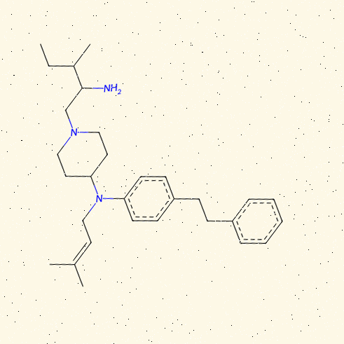 CCC(C)C(N)CN1CCC(N(CC=C(C)C)c2ccc(CCc3ccccc3)cc2)CC1